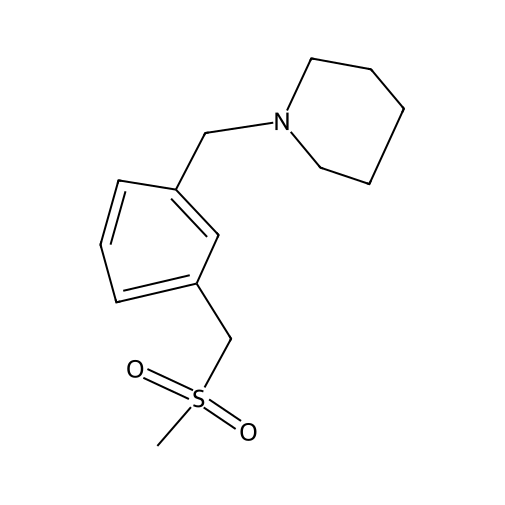 CS(=O)(=O)Cc1cccc(CN2CCCCC2)c1